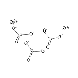 O=[Si]([O-])[O-].O=[Si]([O-])[O-].O=[Si]([O-])[O-].[Zn+2].[Zr+4]